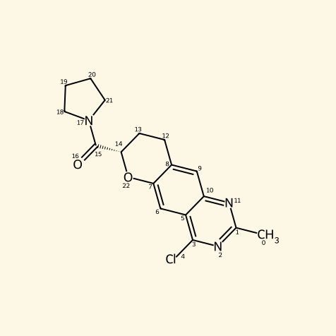 Cc1nc(Cl)c2cc3c(cc2n1)CC[C@@H](C(=O)N1CCCC1)O3